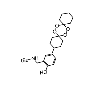 CC(C)(C)NCc1cc(C2CCC3(CC2)OOC2(CCCCC2)OO3)ccc1O